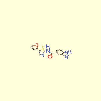 O=C(Nc1nnc(-c2ccco2)s1)c1ccc2[nH]cnc2c1